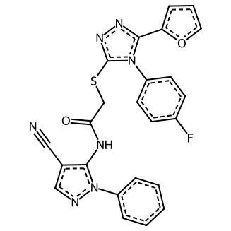 N#Cc1cnn(-c2ccccc2)c1NC(=O)CSc1nnc(-c2ccco2)n1-c1ccc(F)cc1